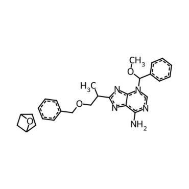 C1CC2CC1O2.COC(c1ccccc1)n1cnc(N)c2nc(C(C)COCc3ccccc3)nc1-2